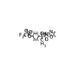 CC(C)(C(=O)Nc1ncco1)c1ccc(OS(=O)(=O)C(F)(F)F)cc1